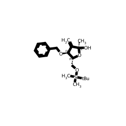 C=C1[C@H](OCc2ccccc2)[C@@H](CO[Si](C)(C)C(C)(C)C)O[C@]1(C)O